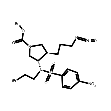 CC(C)CCN([C@@H]1CN(C(=O)OC(C)(C)C)C[C@H]1CCCN=[N+]=[N-])S(=O)(=O)c1ccc([N+](=O)[O-])cc1